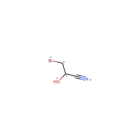 N#CC(O)CBr